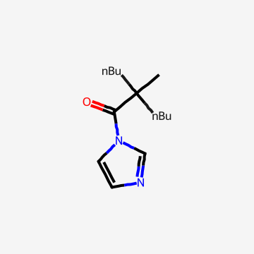 CCCCC(C)(CCCC)C(=O)n1ccnc1